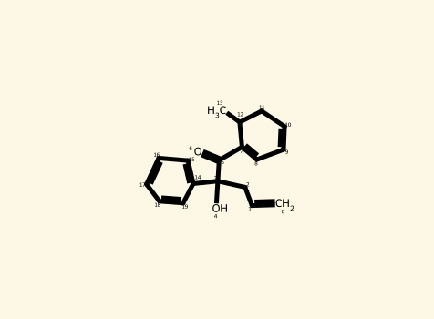 C=CCC(O)(C(=O)C1=CC=CCC1C)c1ccccc1